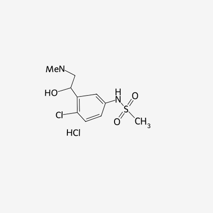 CNCC(O)c1cc(NS(C)(=O)=O)ccc1Cl.Cl